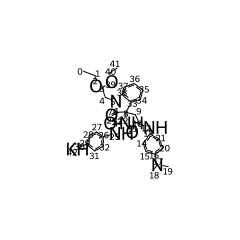 CCOC(CN1C(=O)C(CC(=O)Nc2ccc(N(C)C)cc2)(NC(=O)Nc2ccc(C)cc2)c2ccccc21)OCC.[KH]